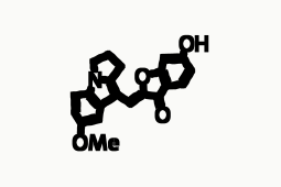 COc1ccc2c(c1)c(/C=C1\Oc3cc(O)ccc3C1=O)c1n2CCC1